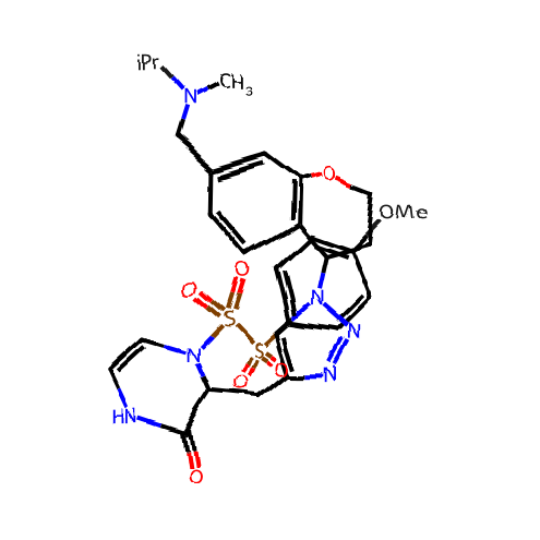 COc1ccc(S(=O)(=O)S(=O)(=O)N2C=CNC(=O)C2Cc2cn(C3CCOc4cc(CN(C)C(C)C)ccc43)nn2)cc1